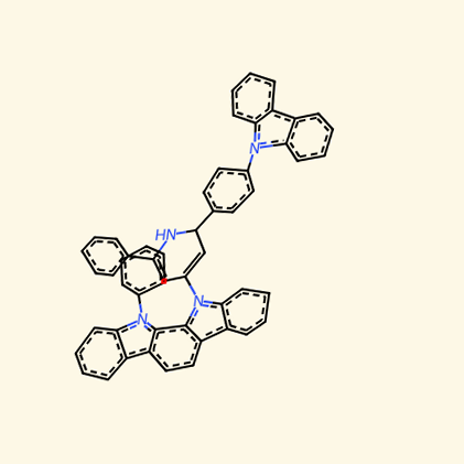 C1=C(c2ccccc2)NC(c2ccc(-n3c4ccccc4c4ccccc43)cc2)C=C1n1c2ccccc2c2ccc3c4ccccc4n(-c4ccccc4)c3c21